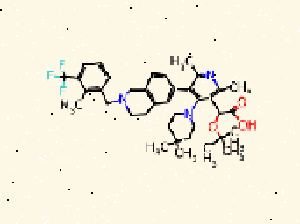 Cc1nc(C)c(C(OC(C)(C)C)C(=O)O)c(N2CCC(C)(C)CC2)c1-c1ccc2c(c1)CCN(Cc1cccc(C(F)(F)F)c1C)C2